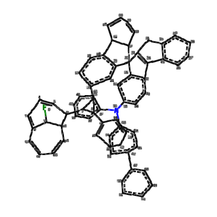 FC1C2=CC=CC(C3C(C4=CCCC=C4)C3c3ccc4c(c3)C3(C5=C(c6ccccc6C5)c5ccc(N(c6ccccc6)c6ccc(-c7ccccc7)cc6)cc53)C3C=CC=CC43)C1C=CC=C2